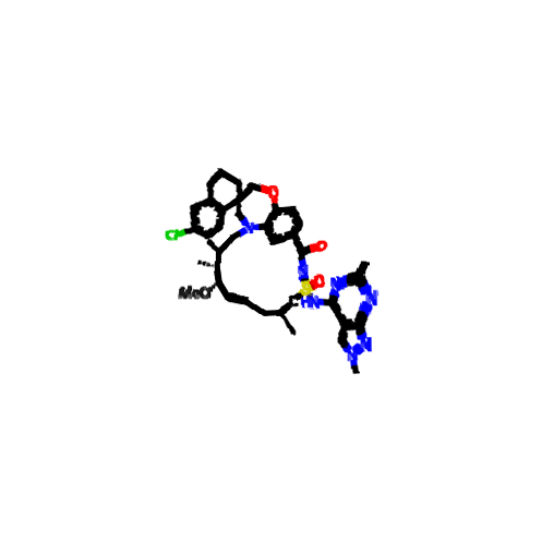 CO[C@H]1/C=C/C[C@H](C)CS(=O)(Nc2nc(C)nc3nn(C)cc23)=NC(=O)c2ccc3c(c2)N(C[C@H](C)[C@H]1C)C[C@@]1(CCCc2cc(Cl)ccc21)CO3